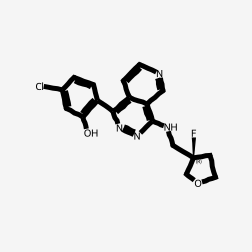 Oc1cc(Cl)ccc1-c1nnc(NC[C@]2(F)CCOC2)c2cnccc12